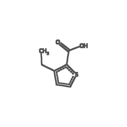 CCc1ccsc1C(=O)O